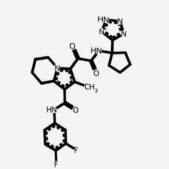 Cc1c(C(=O)Nc2ccc(F)c(F)c2)c2n(c1C(=O)C(=O)NC1(c3nn[nH]n3)CCCC1)CCCC2